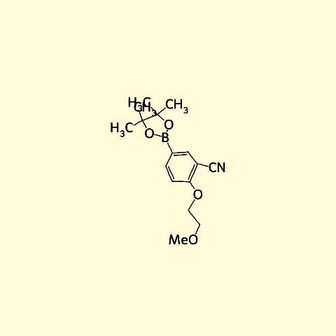 COCCOc1ccc(B2OC(C)(C)C(C)(C)O2)cc1C#N